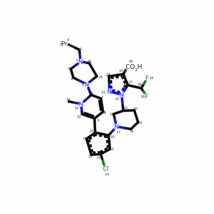 CC(C)CN1CCN(C2C=CC(c3ccc(Cl)cc3N3CCCC(n4ncc(C(=O)O)c4C(F)F)C3)=CN2C)CC1